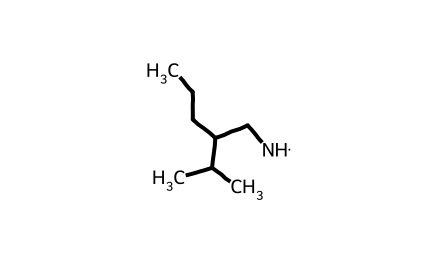 CCCC(C[NH])C(C)C